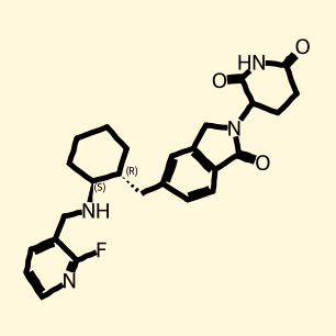 O=C1CCC(N2Cc3cc(C[C@H]4CCCC[C@@H]4NCc4cccnc4F)ccc3C2=O)C(=O)N1